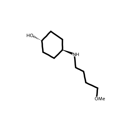 COCCCCN[C@H]1CC[C@H](O)CC1